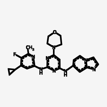 Cc1nc(Nc2nc(Nc3ccn4ccnc4c3)cc(N3CCOCC3)n2)cc(C2CC2)c1F